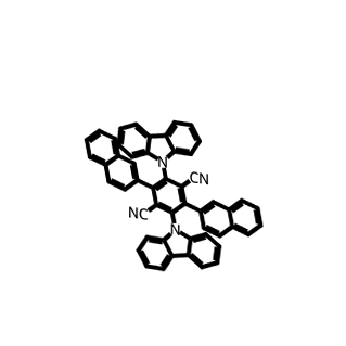 N#Cc1c(-c2ccc3ccccc3c2)c(-n2c3ccccc3c3ccccc32)c(C#N)c(-c2ccc3ccccc3c2)c1-n1c2ccccc2c2ccccc21